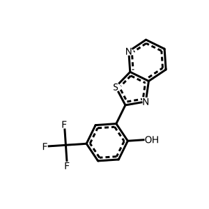 Oc1ccc(C(F)(F)F)cc1-c1nc2cccnc2s1